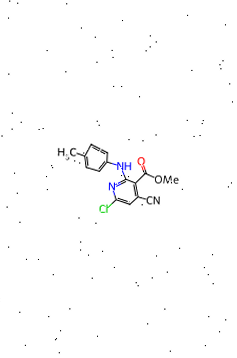 COC(=O)c1c(C#N)cc(Cl)nc1Nc1ccc(C)cc1